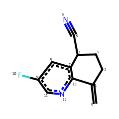 C=C1CCC(C#N)c2cc(F)cnc21